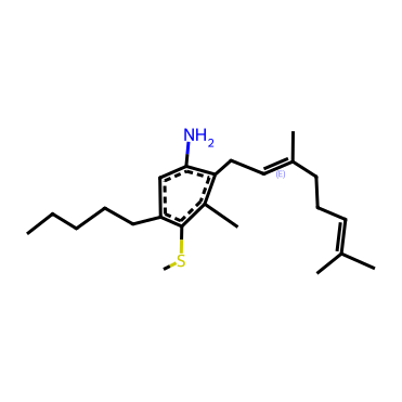 CCCCCc1cc(N)c(C/C=C(\C)CCC=C(C)C)c(C)c1SC